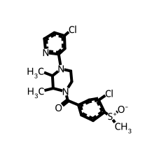 CC1C(C)N(c2cc(Cl)ccn2)CCN1C(=O)c1ccc([S+](C)[O-])c(Cl)c1